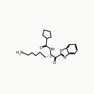 NCCCCC[C@H](NC(=O)C1CCCC1)C(=O)c1nc2ccccc2s1